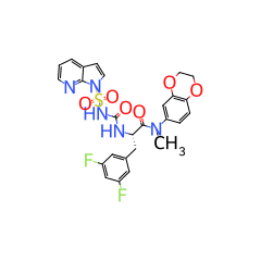 CN(C(=O)[C@H](Cc1cc(F)cc(F)c1)NC(=O)NS(=O)(=O)n1ccc2cccnc21)c1ccc2c(c1)OCCO2